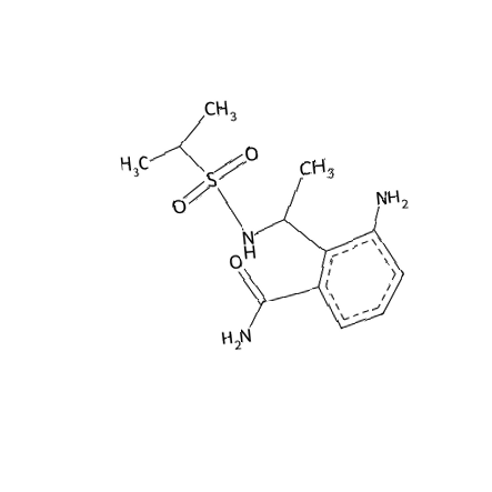 CC(NS(=O)(=O)C(C)C)c1c(N)cccc1C(N)=O